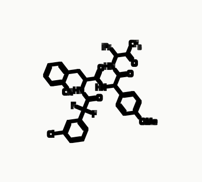 COc1ccc(C(NC(=O)C(Cc2ccccc2C#N)NC(=O)C(F)(F)c2cccc(Cl)c2)C(=O)NC(C(=O)C(F)(F)F)C(C)C)cc1